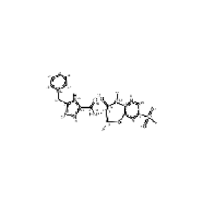 C[C@H]1Oc2cc(S(C)(=O)=O)cnc2N(C)C(=O)[C@H]1NC(=O)c1nnc(Cc2ccccc2)[nH]1